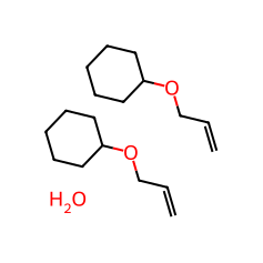 C=CCOC1CCCCC1.C=CCOC1CCCCC1.O